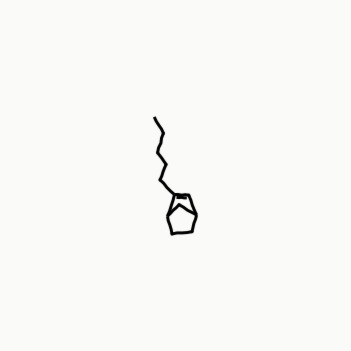 CCCCCC1=CC2CCC1C2